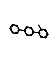 Cc1ccccc1-c1ccc(-c2ccccc2)cc1